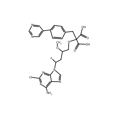 COC(COC(Cc1ccc(-c2cncnc2)cc1)(C(=O)O)C(=O)O)CC(F)n1cnc2c(N)nc(Cl)nc21